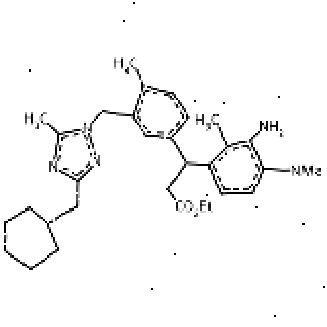 CCOC(=O)CC(c1ccc(C)c(Cn2nc(CC3CCCCC3)nc2C)c1)c1ccc(NC)c(N)c1C